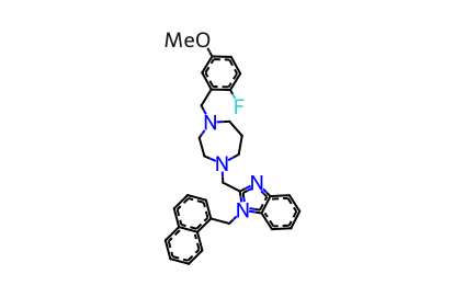 COc1ccc(F)c(CN2CCCN(Cc3nc4ccccc4n3Cc3cccc4ccccc34)CC2)c1